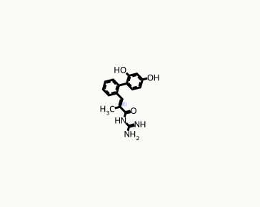 C/C(=C\c1ccccc1-c1ccc(O)cc1O)C(=O)NC(=N)N